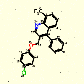 FC(F)(F)c1cccc2c(-c3ccccc3)c(COc3ccc(Cl)cc3)cnc12